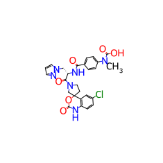 CN(C(=O)O)c1ccc(C(=O)N[C@@H](Cn2cccn2)C(=O)N2CCC3(C2)OC(=O)Nc2ccc(Cl)cc23)cc1